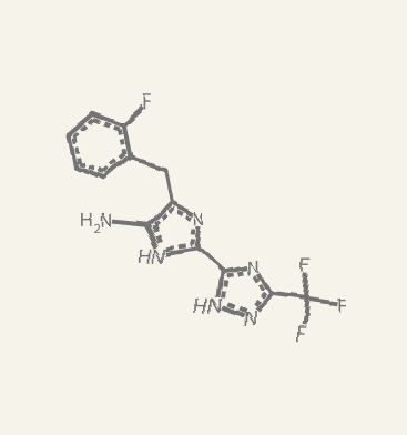 Nc1[nH]c(-c2nc(C(F)(F)F)n[nH]2)nc1Cc1ccccc1F